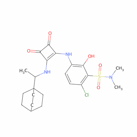 CC(Nc1c(Nc2ccc(Cl)c(S(=O)(=O)N(C)C)c2O)c(=O)c1=O)C12CCC(CC1)CC2